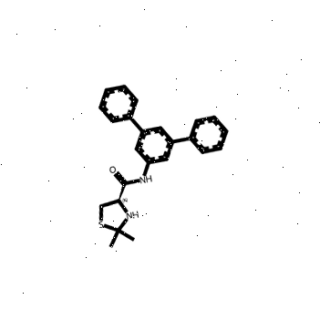 CC1(C)N[C@H](C(=O)Nc2cc(-c3ccccc3)cc(-c3ccccc3)c2)CS1